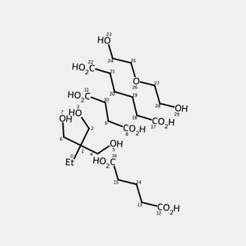 CCC(CO)(CO)CO.O=C(O)CCC(=O)O.O=C(O)CCCC(=O)O.O=C(O)CCCCC(=O)O.OCCOCCO